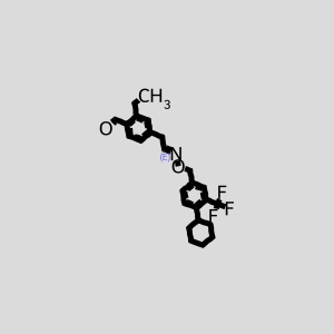 CCc1cc(C/C=N/OCc2ccc(C3CCCCC3)c(C(F)(F)F)c2)ccc1C=O